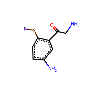 NCC(=O)c1cc(N)ccc1SI